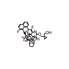 CC1Oc2nc(-c3cccc4ccc(F)c(C#C[Si](C(C)C)(C(C)C)C(C)C)c34)c(F)c3nc(OCC4(CO)CC4)nc(c23)N2CC3CCC(C12)N3C(=O)O